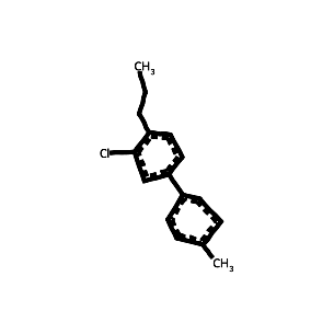 CCCc1ccc(-c2ccc(C)cc2)cc1Cl